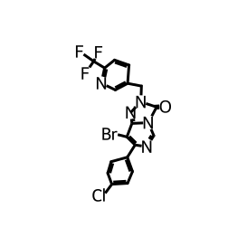 O=c1n(Cc2ccc(C(F)(F)F)nc2)nc2c(Br)c(-c3ccc(Cl)cc3)ncn12